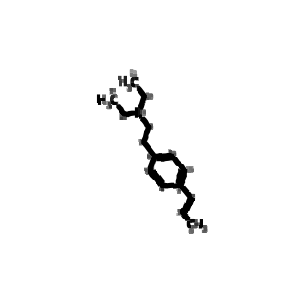 C/C=C/c1ccc(CCN(CC)CC)cc1